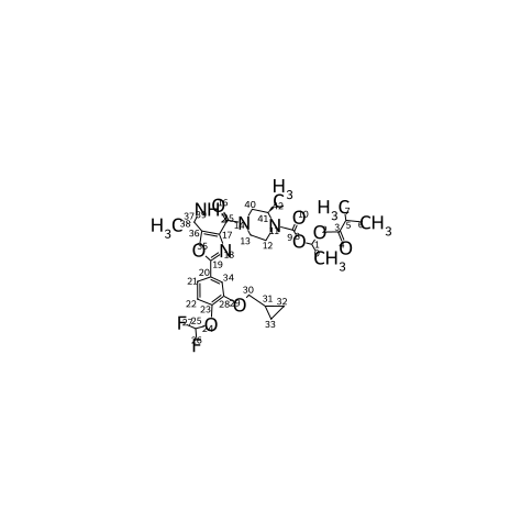 CC(OC(=O)C(C)C)OC(=O)N1CCN(C(=O)c2nc(-c3ccc(OC(F)F)c(OCC4CC4)c3)oc2[C@H](C)N)C[C@H]1C